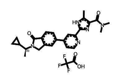 Cc1[nH]c(-c2cc(-c3ccc4c(c3)CN([C@@H](C)C3CC3)C4=O)ccn2)nc1C(=O)N(C)C.O=C(O)C(F)(F)F